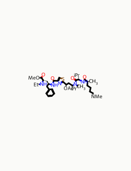 CCN[C@@H](C[C@H](Cc1ccccc1)NC(=O)c1csc([C@@H](C[C@H](C(C)C)N(C)C(=O)[C@@H](NC(=O)[C@H](C)CCCCNC)C(C)C)OC(C)=O)n1)C(=O)OC